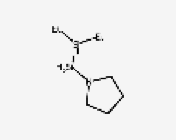 CC[SiH](CC)[SiH2]N1CCCC1